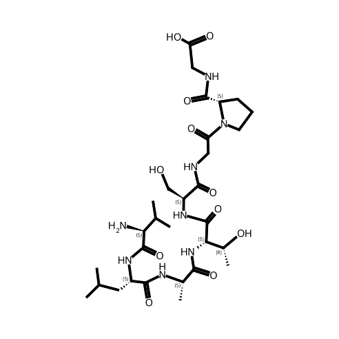 CC(C)C[C@H](NC(=O)[C@@H](N)C(C)C)C(=O)N[C@@H](C)C(=O)N[C@H](C(=O)N[C@@H](CO)C(=O)NCC(=O)N1CCC[C@H]1C(=O)NCC(=O)O)[C@@H](C)O